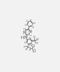 CC(=O)Oc1c(C(C)(C)C)cc(Nc2cnc(-c3ccccc3)cn2)cc1C(C)(C)C